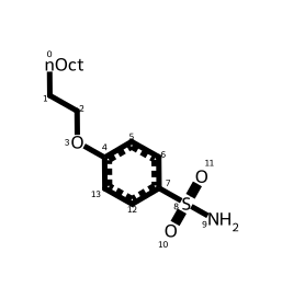 CCCCCCCCCCOc1ccc(S(N)(=O)=O)cc1